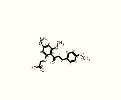 COc1ccc(CCC(=O)c2c(OC)cc(OC)cc2OCC(=O)O)cc1